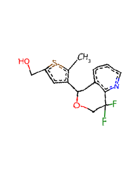 Cc1sc(CO)cc1C1OCC(F)(F)c2ncccc21